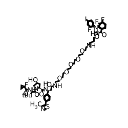 Cc1ncsc1-c1ccc([C@H](CC(=O)NCCOCCOCCOCCOCCOCCNCCCONC(=O)c2ccc(F)c(F)c2Nc2ccc(I)cc2F)NC(=O)[C@@H]2C[C@@H](O)CN2C(=O)C(NC(=O)C2(F)CC2)C(C)(C)C)cc1